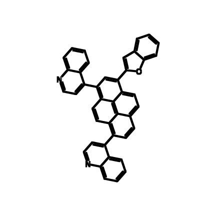 c1ccc2oc(-c3cc(-c4ccnc5ccccc45)c4ccc5c(-c6ccnc7ccccc67)ccc6ccc3c4c65)cc2c1